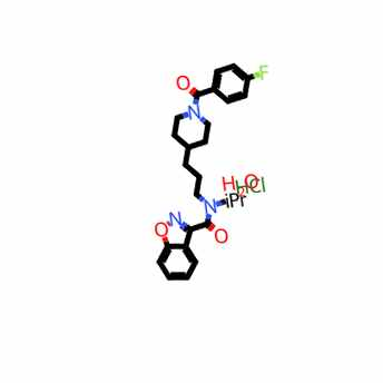 CC(C)N(CCCC1CCN(C(=O)c2ccc(F)cc2)CC1)C(=O)c1noc2ccccc12.Cl.O